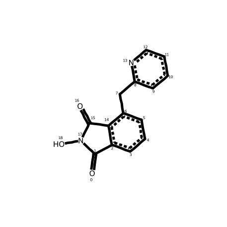 O=C1c2cccc(Cc3ccccn3)c2C(=O)N1O